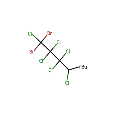 CCCCC(Cl)C(Cl)(Cl)C(Cl)(Cl)C(Cl)(Br)Br